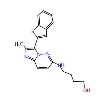 Cc1nc2ccc(NCCCCO)nn2c1-c1cc2ccccc2s1